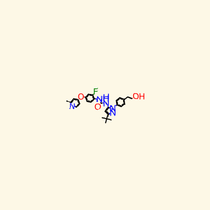 Cc1cc(Oc2ccc(NC(=O)Nc3cc(C(C)(C)C)nn3-c3ccc(CCO)cc3)c(F)c2)ccn1